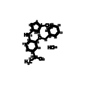 Cc1csc(Nc2ncc([S+](C)[O-])cc2OCc2ccccc2)n1.Cl